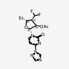 CC[C@H]1O[C@@H](n2ccc(-n3cncn3)nc2=O)[C@H](OC(C)=O)[C@@H]1C(F)F